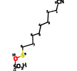 N#CCCCCCCCCSOS(=O)(=O)O